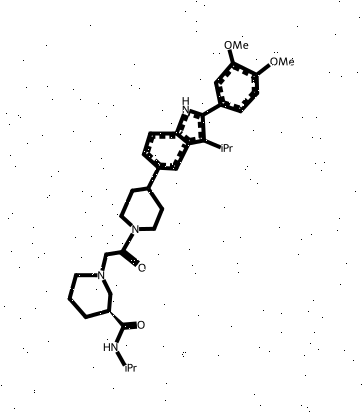 COc1ccc(-c2[nH]c3ccc(C4CCN(C(=O)CN5CCC[C@H](C(=O)NC(C)C)C5)CC4)cc3c2C(C)C)cc1OC